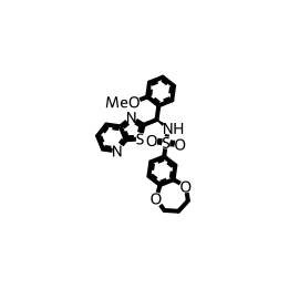 COc1ccccc1[C@@H](NS(=O)(=O)c1ccc2c(c1)OCCCO2)c1nc2cccnc2s1